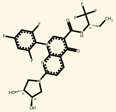 CC[C@H](NC(=O)c1cn(-c2c(F)cc(F)cc2F)c2nc(N3C[C@@H](O)[C@H](O)C3)ccc2c1=O)C(F)(F)F